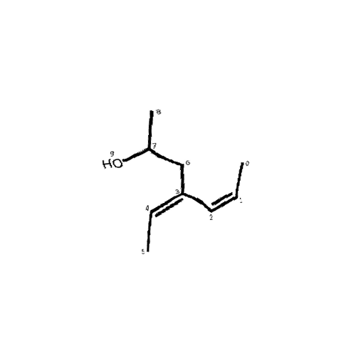 C/C=C\C(=C/C)CC(C)O